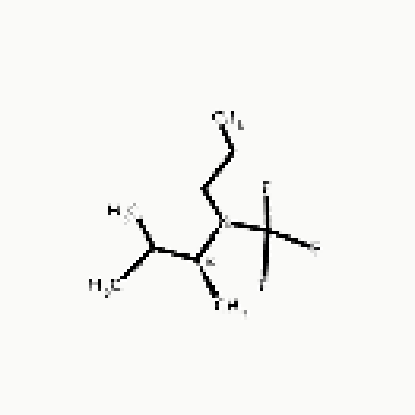 CCCN([C@@H](C)C(C)C)C(F)(F)F